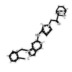 O=C(Cn1ccc(Nc2cc3c(cn2)cnn3Cc2ccccc2F)n1)N1CC2CCC1CN2